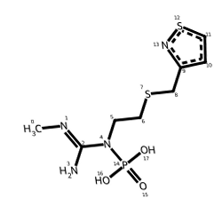 CN=C(N)N(CCSCc1ccsn1)P(=O)(O)O